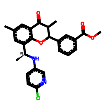 COC(=O)c1cccc(C2Oc3c(cc(C)cc3[C@@H](C)Nc3ccc(Cl)nc3)C(=O)C2C)c1